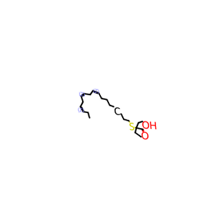 CC/C=C\C/C=C\C/C=C\CCCCCCCCSC(CC)(CC)C(=O)O